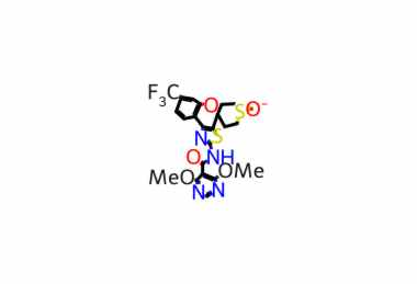 COc1ncnc(OC)c1C(=O)Nc1nc2c(s1)C1(CC[S+]([O-])CC1)Oc1cc(C(F)(F)F)ccc1-2